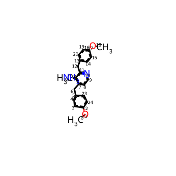 COc1ccc(Cc2ccnc(Cc3ccc(OC)cc3)c2C)cc1.N